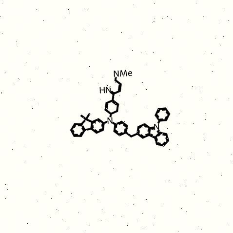 CNC/C=C\C(=N)C1=CCC(N(c2ccc(Cc3ccc4c(c3)c3ccccc3n4-c3ccccc3)cc2)c2ccc3c(c2)C(C)(C)c2ccccc2-3)C=C1